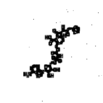 Nc1ncnc2c1ncn2[C@@H]1O[C@H](COS(=O)(=O)NC(=O)OCC2=C(C(=O)O)N3C(=O)[C@@H](NC(=O)Cc4cccs4)[C@H]3SC2)[C@@H](O)[C@H]1O